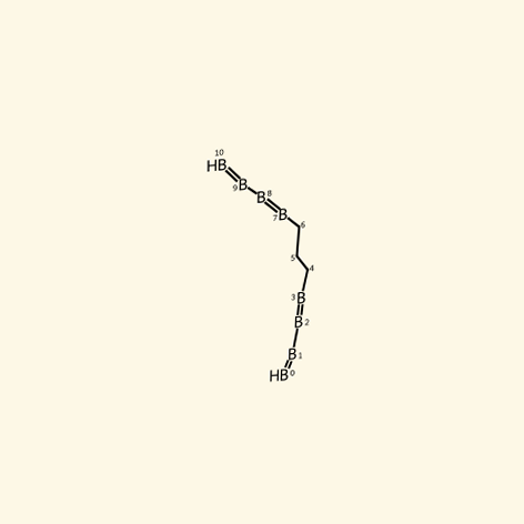 B=BB=BCCCB=BB=B